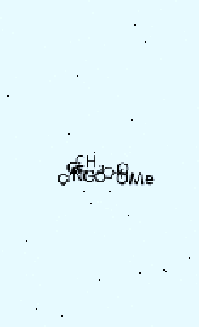 COC(=O)C1=Cc2ccc(OCc3nc(-c4ccccc4)oc3C)cc2CC1